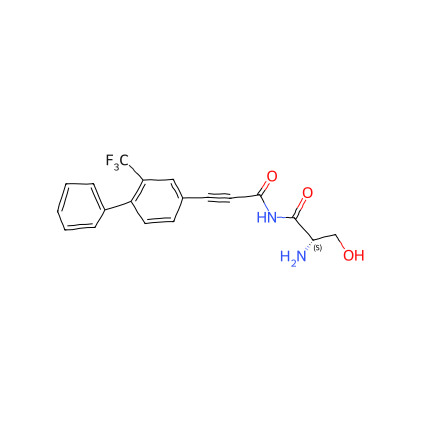 N[C@@H](CO)C(=O)NC(=O)C#Cc1ccc(-c2ccccc2)c(C(F)(F)F)c1